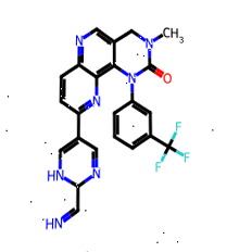 CN1Cc2cnc3ccc(C4=CNC(C=N)N=C4)nc3c2N(c2cccc(C(F)(F)F)c2)C1=O